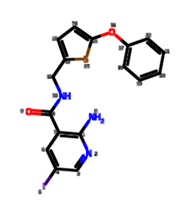 Nc1ncc(I)cc1C(=O)NCc1ccc(Oc2ccccc2)s1